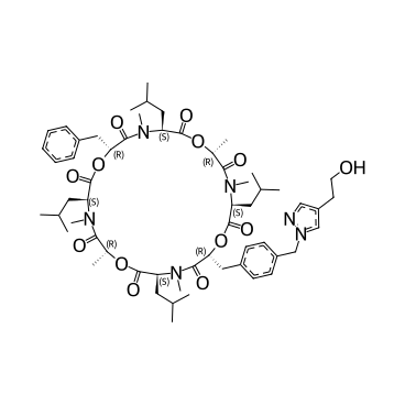 CC(C)C[C@H]1C(=O)O[C@H](Cc2ccc(Cn3cc(CCO)cn3)cc2)C(=O)N(C)[C@@H](CC(C)C)C(=O)O[C@H](C)C(=O)N(C)[C@@H](CC(C)C)C(=O)O[C@H](Cc2ccccc2)C(=O)N(C)[C@@H](CC(C)C)C(=O)O[C@H](C)C(=O)N1C